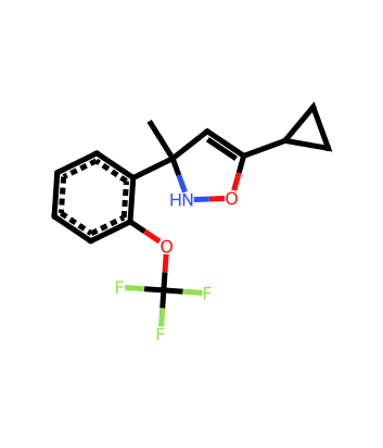 CC1(c2ccccc2OC(F)(F)F)C=C(C2CC2)ON1